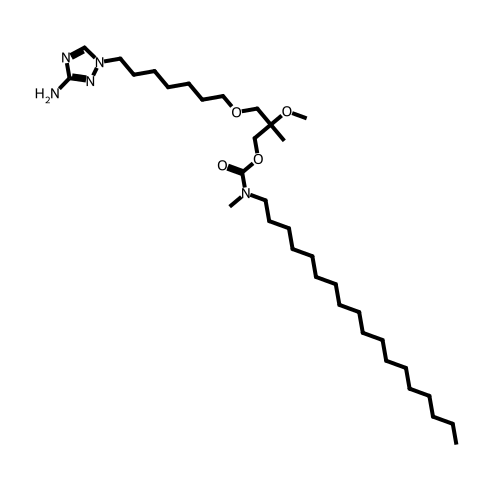 CCCCCCCCCCCCCCCCCCN(C)C(=O)OCC(C)(COCCCCCCCn1cnc(N)n1)OC